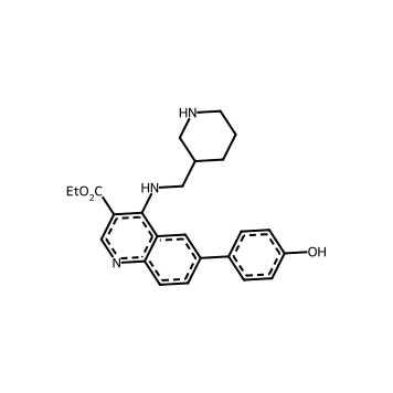 CCOC(=O)c1cnc2ccc(-c3ccc(O)cc3)cc2c1NCC1CCCNC1